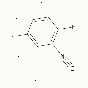 [C-]#[N+]c1cc(C)ccc1F